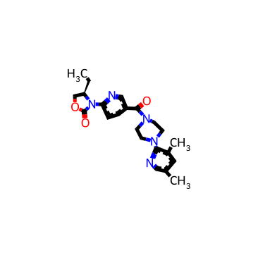 CC[C@@H]1COC(=O)N1c1ccc(C(=O)N2CCN(c3ncc(C)cc3C)CC2)cn1